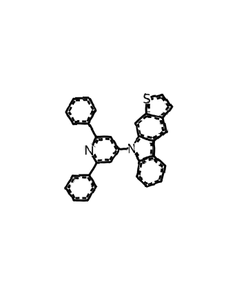 c1ccc(-c2cc(-n3c4ccccc4c4cc5ccsc5cc43)cc(-c3ccccc3)n2)cc1